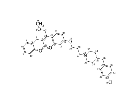 COCc1c(Cc2ccccc2)c(=O)oc2cc(OCCCN3CCN(Cc4ccc(Cl)cc4)CC3)ccc12